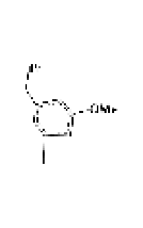 COc1cc(C)cc(CC(C)C)c1